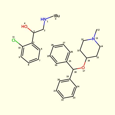 CC(C)(C)NCC(O)c1ccccc1Cl.CN1CCC(OC(c2ccccc2)c2ccccc2)CC1